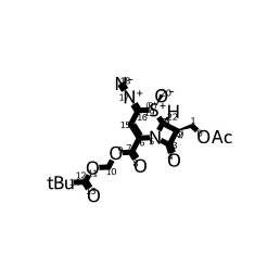 CC(=O)OC[C@H]1C(=O)N2C(C(=O)OCOC(=O)C(C)(C)C)=CC(=[N+]=[N-])[S@@+]([O-])[C@@H]12